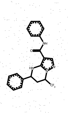 O=C(Nc1ccccc1)c1cnn2c1NC(c1ccccc1)CC2C(F)(F)F